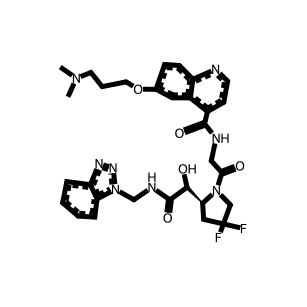 CN(C)CCCOc1ccc2nccc(C(=O)NCC(=O)N3CC(F)(F)C[C@H]3C(O)C(=O)NCn3nnc4ccccc43)c2c1